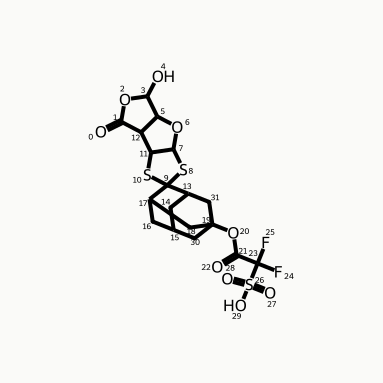 O=C1OC(O)C2OC3SC4(SC3C12)C1CC2CC4CC(OC(=O)C(F)(F)S(=O)(=O)O)(C2)C1